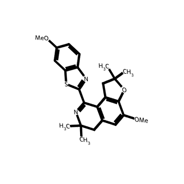 COc1ccc2nc(C3=NC(C)(C)Cc4cc(OC)c5c(c43)CC(C)(C)O5)sc2c1